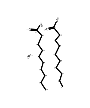 CCCCCCCCCC(=O)[O-].CCCCCCCCCC(=O)[O-].[Al+2]